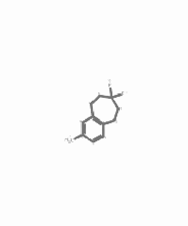 Cc1ccc2c(c1)CCC(F)(F)CC2